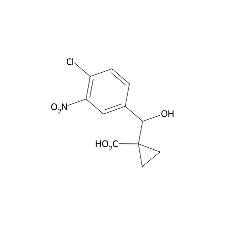 O=C(O)C1(C(O)c2ccc(Cl)c([N+](=O)[O-])c2)CC1